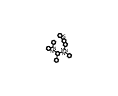 c1ccc(-c2cc(-c3nc(-c4ccccc4)nc(-c4ccc5cc6sc7ccccc7c6cc5c4)n3)cc(-c3nc(-c4ccccc4)c4ccccc4n3)c2)cc1